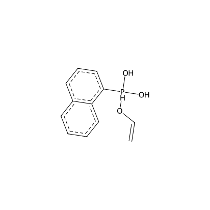 C=CO[PH](O)(O)c1cccc2ccccc12